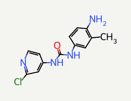 Cc1cc(NC(=O)Nc2ccnc(Cl)c2)ccc1N